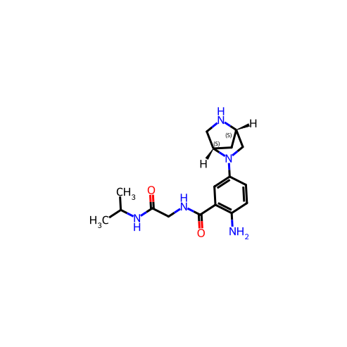 CC(C)NC(=O)CNC(=O)c1cc(N2C[C@@H]3C[C@H]2CN3)ccc1N